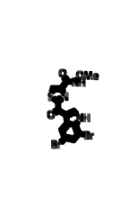 CONC(=O)c1csc(C(=O)c2c[nH]c3c(Br)cc(Br)cc23)n1